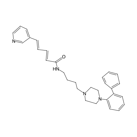 O=C(C=CC=Cc1cccnc1)NCCCCN1CCN(c2ccccc2-c2ccccc2)CC1